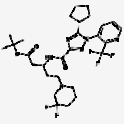 CC(C)(C)OC(=O)C[C@H](CCN1CCCC(F)(F)C1)NC(=O)c1nc(C2CCCC2)n(-c2cccnc2C(F)(F)F)n1